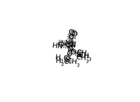 C[Si](C)(C)CCOCN(COCC[Si](C)(C)C)c1cc(C2CCCNC2)nc2c(-c3ccc4c(c3)OCO4)cnn12